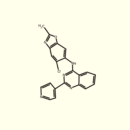 Cc1nc2cc(Cl)c(Nc3nc(-c4ccncc4)nc4ccccc34)cc2o1